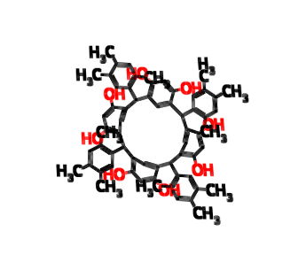 Cc1cc(C)c(C2c3cc(c(O)cc3O)C(c3cc(C)c(C)cc3C)c3cc(c(O)cc3O)C(c3cc(C)c(C)cc3C)c3cc(c(O)cc3O)C(c3cc(C)c(C)cc3C)c3cc2c(O)cc3O)cc1C